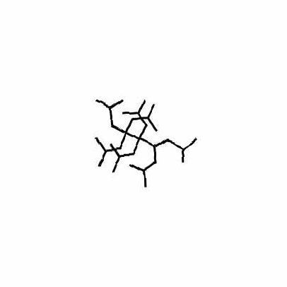 CC(C)C[C](CC(C)C)C(CC(C)C)(CC(C)C)C(CC(C)C)(CC(C)C)CC(C)C